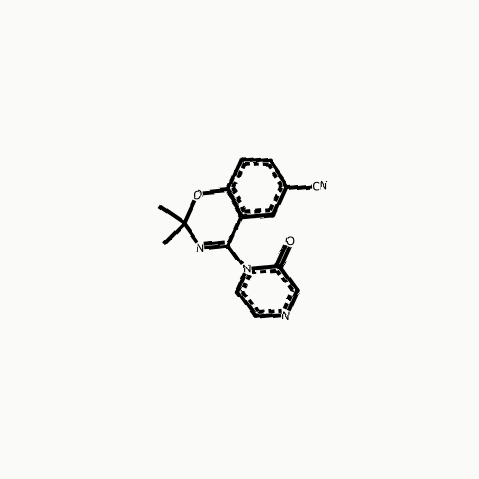 CC1(C)N=C(n2ccncc2=O)c2cc(C#N)ccc2O1